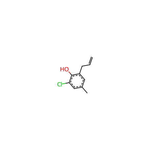 C=CCc1cc(C)cc(Cl)c1O